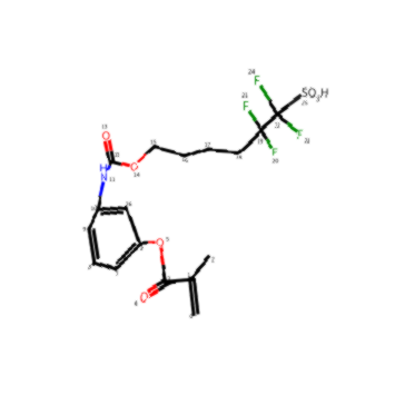 C=C(C)C(=O)Oc1cccc(NC(=O)OCCCCC(F)(F)C(F)(F)S(=O)(=O)O)c1